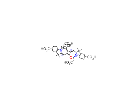 CC1(C)C(/C=C2C([O-])=C(/C=C3\N(CCC(=O)O)c4ccc(C(=O)O)cc4C3(C)C)C\2=C(C#N)C#N)=[N+](CCC(=O)O)c2ccc(C(=O)O)cc21